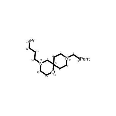 CCCC(C)CN1CCC2(CC1)CN(CCCC(C)C)CCO2